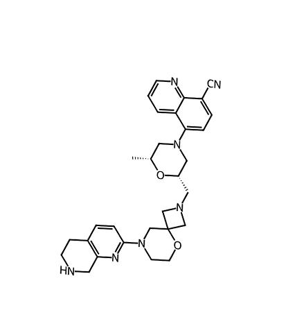 C[C@@H]1CN(c2ccc(C#N)c3ncccc23)C[C@H](CN2CC3(C2)CN(c2ccc4c(n2)CNCC4)CCO3)O1